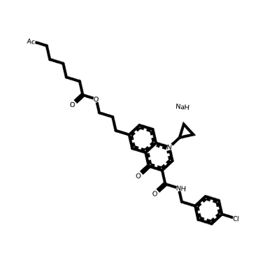 CC(=O)CCCCCC(=O)OCCCc1ccc2c(c1)c(=O)c(C(=O)NCc1ccc(Cl)cc1)cn2C1CC1.[NaH]